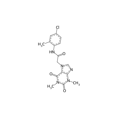 Cc1cc(Cl)ccc1NC(=O)Cn1cnc2c1c(=O)n(C)c(=O)n2C